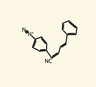 N#CC(=CC=Cc1ccccc1)c1ccc([N+]#N)cc1